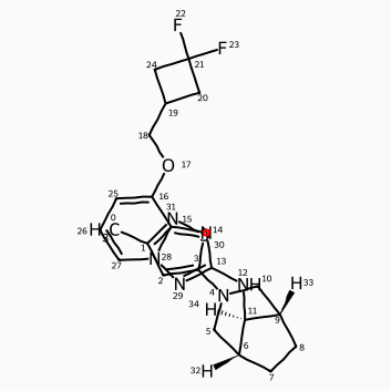 Cc1cc(N2C[C@H]3CC[C@@H](C2)[C@@H]3Nc2nc3c(OCC4CC(F)(F)C4)cccn3n2)sn1